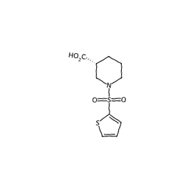 O=C(O)[C@@H]1CCCN(S(=O)(=O)c2cccs2)C1